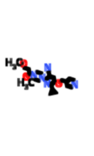 COCCC(=O)N1CCN(c2nc(C3CC3)c(OCc3ccncc3)cc2C#N)CC1C